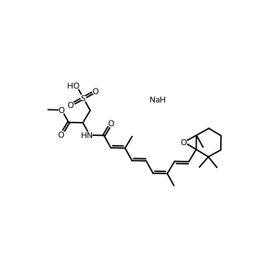 COC(=O)C(CS(=O)(=O)O)NC(=O)/C=C(C)/C=C/C=C(C)\C=C\C12OC1(C)CCCC2(C)C.[NaH]